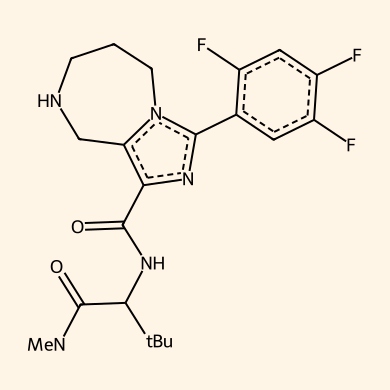 CNC(=O)C(NC(=O)c1nc(-c2cc(F)c(F)cc2F)n2c1CNCCC2)C(C)(C)C